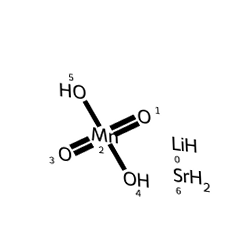 [LiH].[O]=[Mn](=[O])([OH])[OH].[SrH2]